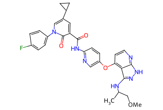 COCC(C)Nc1n[nH]c2nccc(Oc3ccc(NC(=O)c4cc(C5CC5)cn(-c5ccc(F)cc5)c4=O)nc3)c12